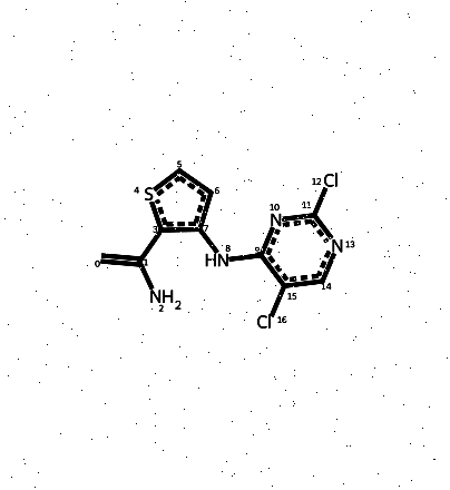 C=C(N)c1sccc1Nc1nc(Cl)ncc1Cl